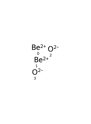 [Be+2].[Be+2].[O-2].[O-2]